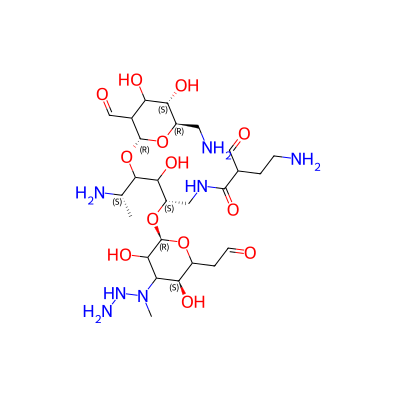 C[C@H](N)C(O[C@H]1O[C@H](CN)[C@@H](O)C(O)C1C=O)C(O)[C@H](CNC(=O)C(C=O)CCN)O[C@H]1OC(CC=O)[C@@H](O)C(N(C)NN)C1O